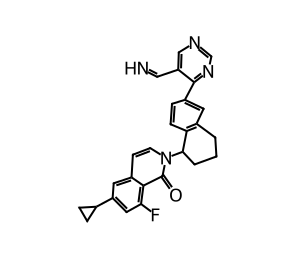 N=Cc1cncnc1-c1ccc2c(c1)CCCC2n1ccc2cc(C3CC3)cc(F)c2c1=O